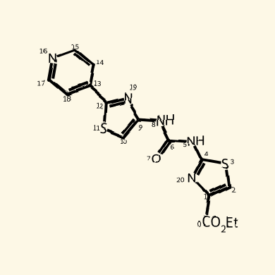 CCOC(=O)c1csc(NC(=O)Nc2csc(-c3ccncc3)n2)n1